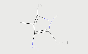 Cc1c(N)c(C(=O)O)n(C)c1C(C)(C)C